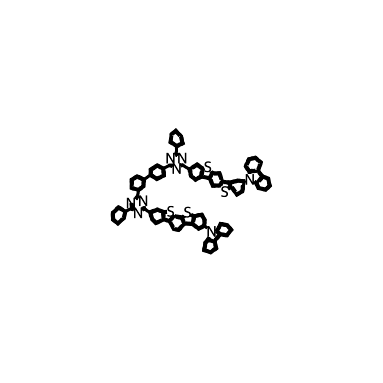 c1ccc(-c2nc(-c3ccc(-c4cccc(-c5nc(-c6ccccc6)nc(-c6ccc7c(c6)sc6c7ccc7c8cc(-n9c%10ccccc%10c%10ccccc%109)ccc8sc76)n5)c4)cc3)nc(-c3ccc4c(c3)sc3cc5c(cc34)sc3ccc(-n4c6ccccc6c6ccccc64)cc35)n2)cc1